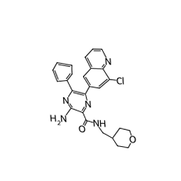 Nc1nc(-c2ccccc2)c(-c2cc(Cl)c3ncccc3c2)nc1C(=O)NCC1CCOCC1